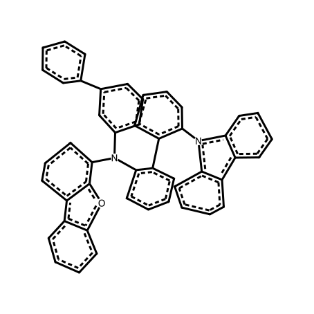 c1ccc(-c2cccc(N(c3ccccc3-c3ccccc3-n3c4ccccc4c4ccccc43)c3cccc4c3oc3ccccc34)c2)cc1